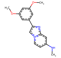 CNc1ccn2cc(-c3cc(OC)cc(OC)c3)nc2c1